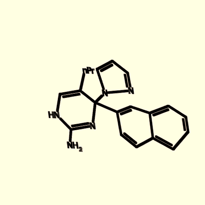 CCCC1=CNC(N)=NC1(c1ccc2ccccc2c1)n1cccn1